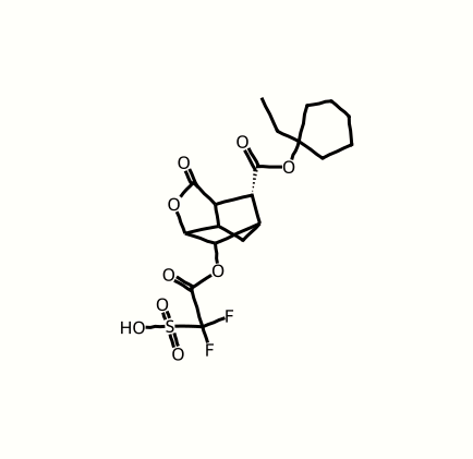 CCC1(OC(=O)[C@@H]2C3CC4C(OC(=O)C42)C3OC(=O)C(F)(F)S(=O)(=O)O)CCCCC1